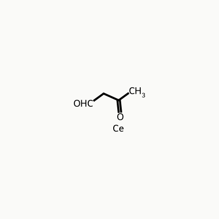 CC(=O)CC=O.[Ce]